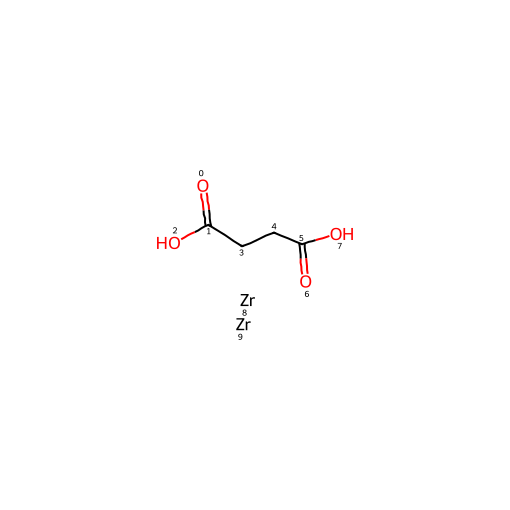 O=C(O)CCC(=O)O.[Zr].[Zr]